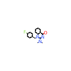 CN(C)c1nc(=O)c2ccccc2n1Cc1ccc(F)cc1